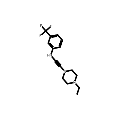 CCN1CCN(C#CNc2cccc(C(F)(F)F)c2)CC1